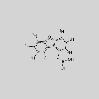 [2H]c1c([2H])c([2H])c2c(oc3c([2H])c([2H])c([2H])c(OB(O)O)c32)c1[2H]